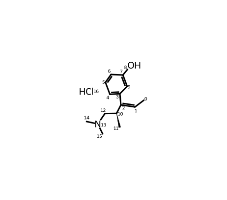 C/C=C(\c1cccc(O)c1)[C@@H](C)CN(C)C.Cl